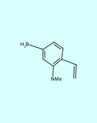 Bc1ccc(C=C)c(NC)c1